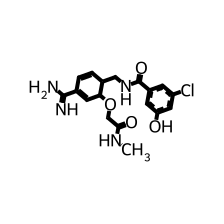 CNC(=O)COC1C=C(C(=N)N)C=CC1CNC(=O)c1cc(O)cc(Cl)c1